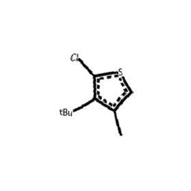 Cc1csc(Cl)c1C(C)(C)C